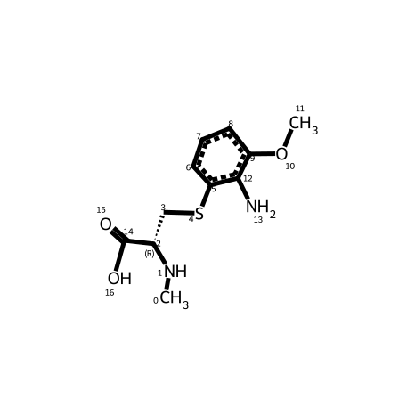 CN[C@@H](CSc1cccc(OC)c1N)C(=O)O